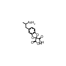 CC([AsH2])Cc1ccc2c(c1)OC(C(=O)O)(C(=O)O)O2